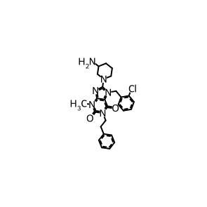 Cn1c(=O)n(CCc2ccccc2)c(=O)c2c1nc(N1CCCC(N)C1)n2Cc1ccccc1Cl